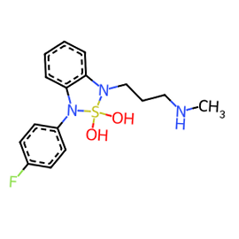 CNCCCN1c2ccccc2N(c2ccc(F)cc2)S1(O)O